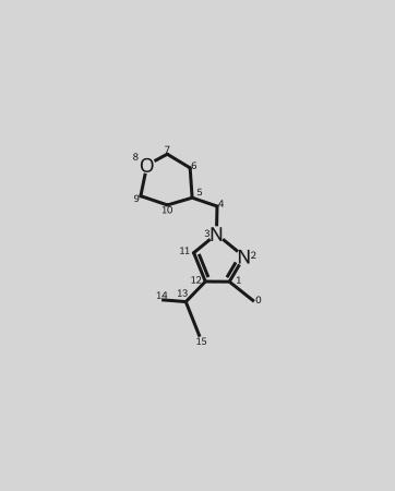 Cc1nn(CC2CCOCC2)cc1C(C)C